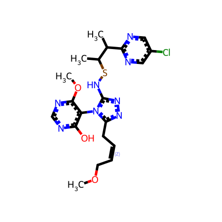 COC/C=C\Cc1nnc(NSC(C)C(C)c2ncc(Cl)cn2)n1-c1c(O)ncnc1OC